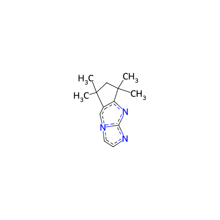 CC1(C)CC(C)(C)c2nc3nccn3cc21